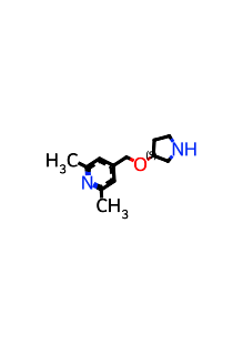 Cc1cc(CO[C@H]2CCNC2)cc(C)n1